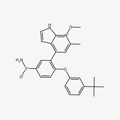 CO[n+]1c(C)cc(-c2cc([S+](N)[O-])ccc2Oc2cccc(C(C)(C)C)c2)c2cc[nH]c21